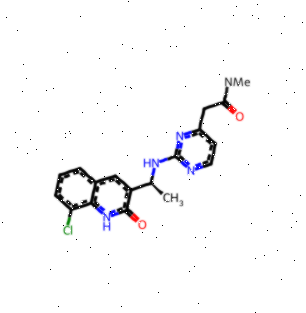 CNC(=O)Cc1ccnc(N[C@@H](C)c2cc3cccc(Cl)c3[nH]c2=O)n1